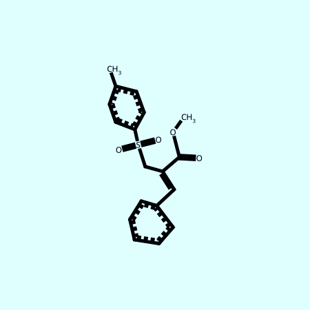 COC(=O)/C(=C/c1ccccc1)CS(=O)(=O)c1ccc(C)cc1